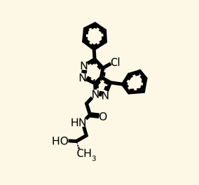 C[C@H](O)CNC(=O)Cn1nc(-c2ccccc2)c2c(Cl)c(-c3ccccc3)nnc21